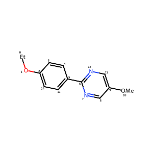 CCOc1ccc(-c2ncc(OC)cn2)cc1